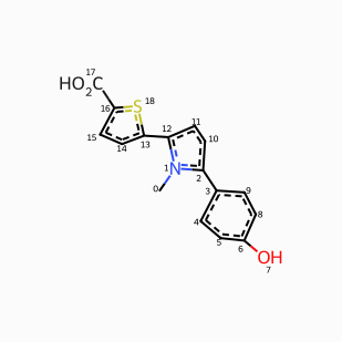 Cn1c(-c2ccc(O)cc2)ccc1-c1ccc(C(=O)O)s1